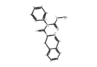 CC(C)(C)OC(=O)N(C(=O)[C@@H]1Cc2ccccc2C=N1)c1ccccc1